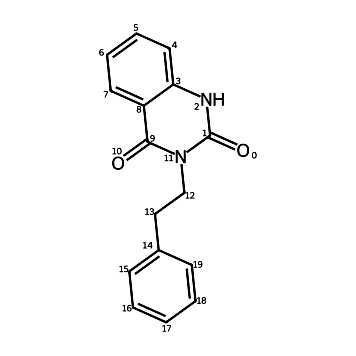 O=c1[nH]c2ccccc2c(=O)n1CCc1ccccc1